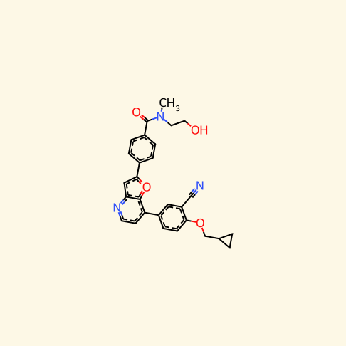 CN(CCO)C(=O)c1ccc(-c2cc3nccc(-c4ccc(OCC5CC5)c(C#N)c4)c3o2)cc1